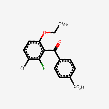 CCc1ccc(OCOC)c(C(=O)c2ccc(C(=O)O)cc2)c1F